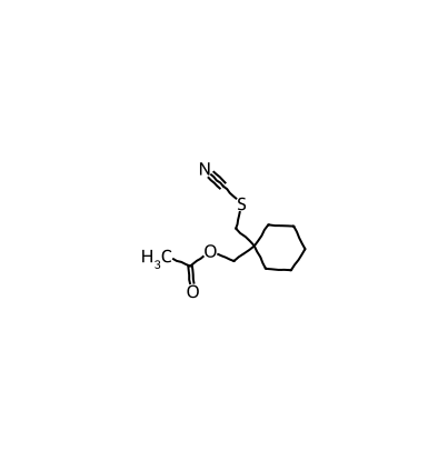 CC(=O)OCC1(CSC#N)CCCCC1